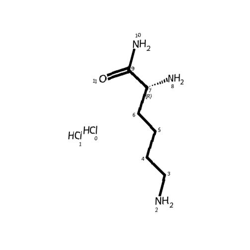 Cl.Cl.NCCCC[C@@H](N)C(N)=O